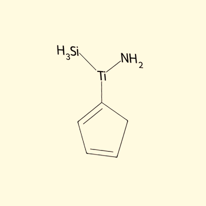 [NH2][Ti]([SiH3])[C]1=CC=CC1